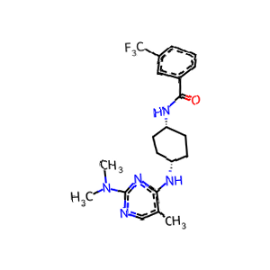 Cc1cnc(N(C)C)nc1N[C@H]1CC[C@@H](NC(=O)c2cccc(C(F)(F)F)c2)CC1